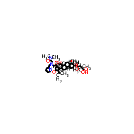 CC(C)C1=C2[C@H]3CC[C@@H]4[C@@]5(C)CC[C@H](OC(=O)CC(C)(C)C(=O)O)C(C)(C)[C@@H]5CC[C@@]4(C)[C@]3(C)CC[C@@]2([C@@H](O)CN(CC(=O)N(C)C)Cc2ccccn2)CC1=O